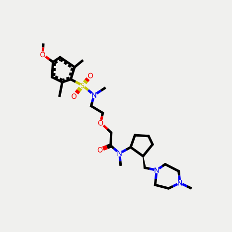 COc1cc(C)c(S(=O)(=O)N(C)CCOCC(=O)N(C)C2CCC[C@H]2CN2CCN(C)CC2)c(C)c1